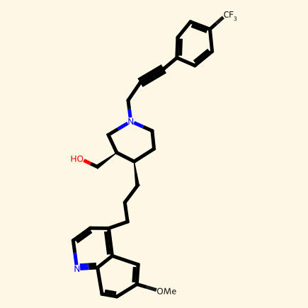 COc1ccc2nccc(CCC[C@@H]3CCN(CC#Cc4ccc(C(F)(F)F)cc4)C[C@@H]3CO)c2c1